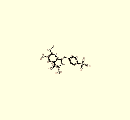 COc1cc2c(Cc3ccc(S(N)(=O)=O)cc3)n[nH]c(=O)c2cc1OC.Cl